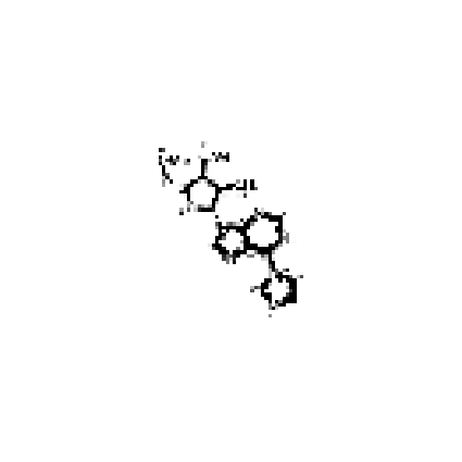 COC[C@H]1O[C@@H](n2cnc3c(-n4ccnc4)ncnc32)C(C)C1OC